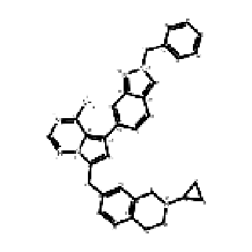 Nc1ncnn2c(Cc3ccc4c(c3)CN(C3CC3)CC4)cc(-c3ccc4cn(Cc5ccccc5)nc4c3)c12